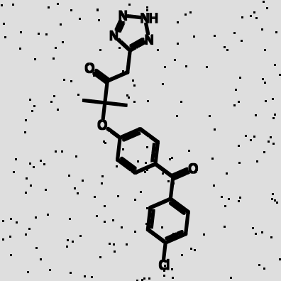 CC(C)(Oc1ccc(C(=O)c2ccc(Cl)cc2)cc1)C(=O)Cc1nn[nH]n1